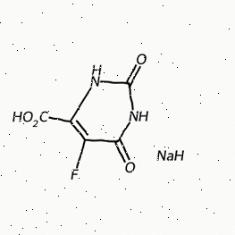 O=C(O)c1[nH]c(=O)[nH]c(=O)c1F.[NaH]